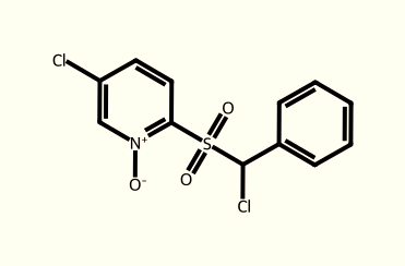 O=S(=O)(c1ccc(Cl)c[n+]1[O-])C(Cl)c1ccccc1